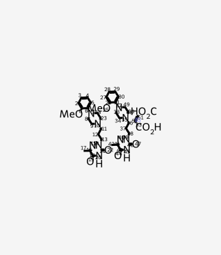 COc1ccccc1N1CCN(CCCn2nc(C)c(=O)[nH]c2=O)CC1.COc1ccccc1N1CCN(CCCn2nc(C)c(=O)[nH]c2=O)CC1.O=C(O)/C=C/C(=O)O